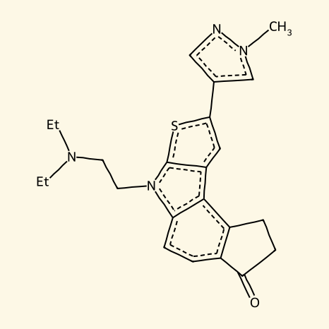 CCN(CC)CCn1c2ccc3c(c2c2cc(-c4cnn(C)c4)sc21)CCC3=O